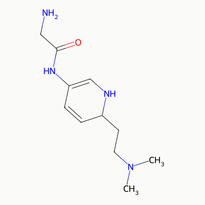 CN(C)CCC1C=CC(NC(=O)CN)=CN1